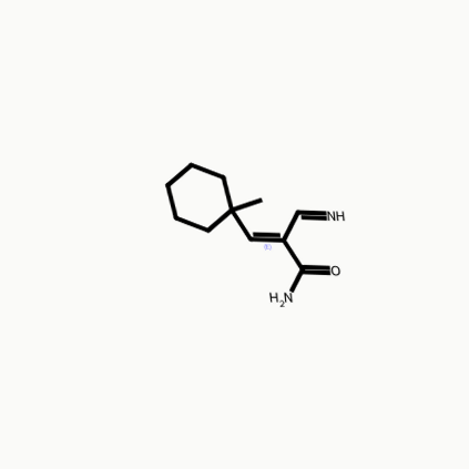 CC1(/C=C(\C=N)C(N)=O)CCCCC1